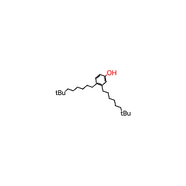 CC(C)(C)CCCCCCc1ccc(O)cc1CCCCCCC(C)(C)C